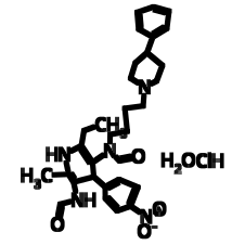 CCC1=C(N(C=O)CCCCN2CCC(c3ccccc3)CC2)C(c2ccc([N+](=O)[O-])cc2)C(NC=O)=C(C)N1.Cl.O